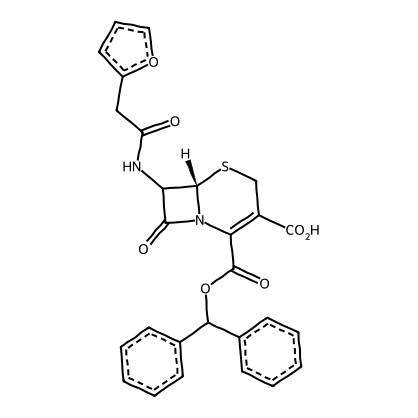 O=C(Cc1ccco1)NC1C(=O)N2C(C(=O)OC(c3ccccc3)c3ccccc3)=C(C(=O)O)CS[C@@H]12